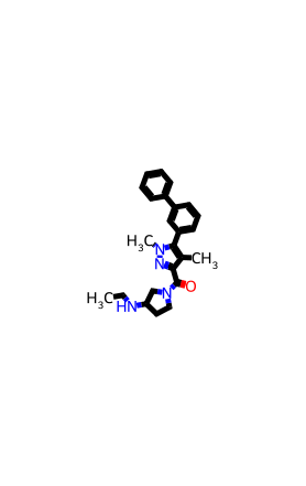 CCNC1CCN(C(=O)c2nn(C)c(-c3cccc(-c4ccccc4)c3)c2C)C1